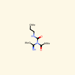 CNC(=O)N(C(=N)OC)C(=O)NCCOC